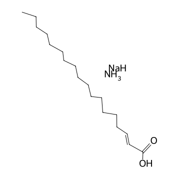 CCCCCCCCCCCCCCCC=CC(=O)O.N.[NaH]